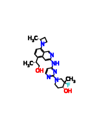 C[C@@H]1CCN1c1ccc([C@@H](C)CO)c2cc(Nc3ccnc(N4CC[C@@H](O)[C@@](C)(F)C4)n3)ncc12